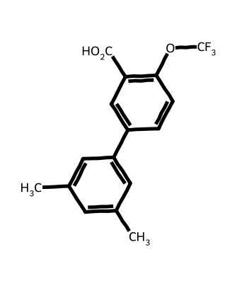 Cc1cc(C)cc(-c2ccc(OC(F)(F)F)c(C(=O)O)c2)c1